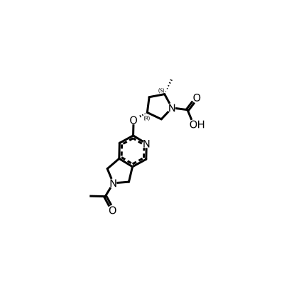 CC(=O)N1Cc2cnc(O[C@@H]3C[C@H](C)N(C(=O)O)C3)cc2C1